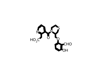 O=Cc1c(O)cccc1OCC1CSCCN1C(=O)c1cccnc1CC(=O)O